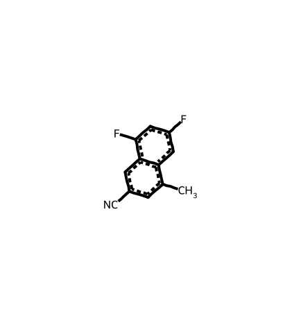 Cc1cc(C#N)cc2c(F)cc(F)cc12